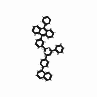 C1=CCCC(c2c3ccccc3c(-c3cccc(-c4nc(C5=CCC(c6cccc7ccccc67)C=C5)cc(-c5ccccc5)n4)c3)c3ccccc23)=C1